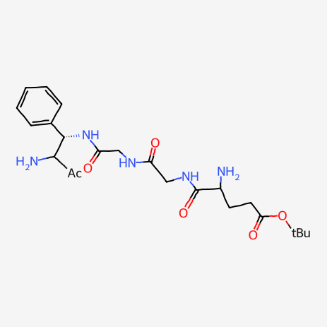 CC(=O)C(N)[C@@H](NC(=O)CNC(=O)CNC(=O)C(N)CCC(=O)OC(C)(C)C)c1ccccc1